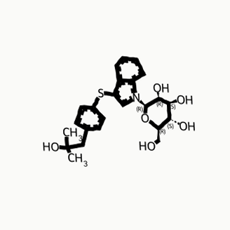 CC(C)(O)Cc1ccc(Sc2cn([C@@H]3O[C@H](CO)[C@@H](O)[C@H](O)[C@H]3O)c3ccccc23)cc1